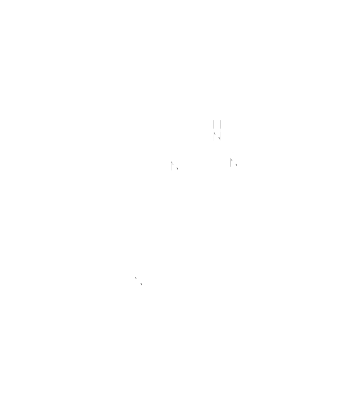 Cc1ccc(-c2ccc3c(c2)CCN(Cc2[nH]cnc2C)C3)c(C)n1